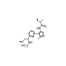 C=CCC(NC(=O)O)c1cccc(-c2c(NC(=O)C(C)C=C)cnn2C)n1